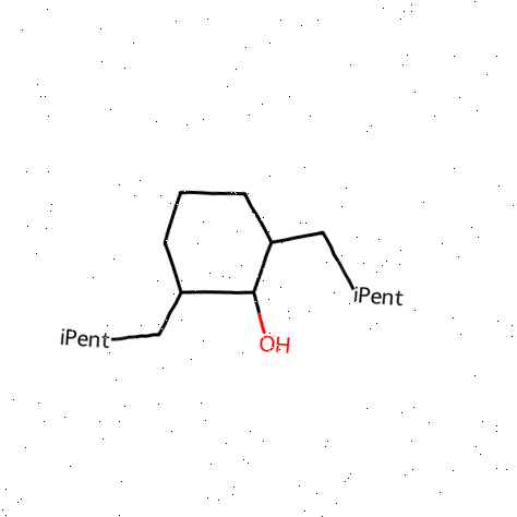 CCCC(C)CC1CCCC(CC(C)CCC)C1O